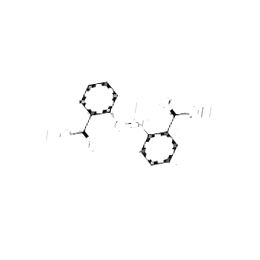 O=C(O)c1ccccc1O[SiH2]c1ccccc1C(=O)O